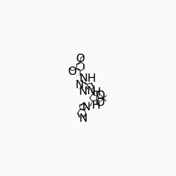 COc1ccc(CNc2ncnc3c2ccn3[C@@H]2C[C@H](Cn3ccc4ccncc43)[C@H]3OC(C)(C)O[C@H]32)c(OC)c1